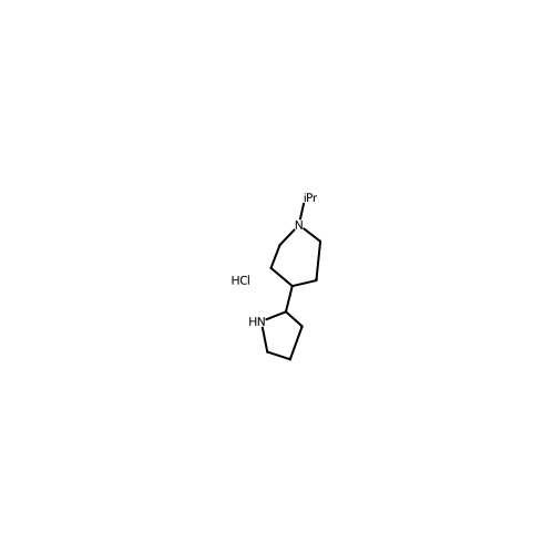 CC(C)N1CCC(C2CCCN2)CC1.Cl